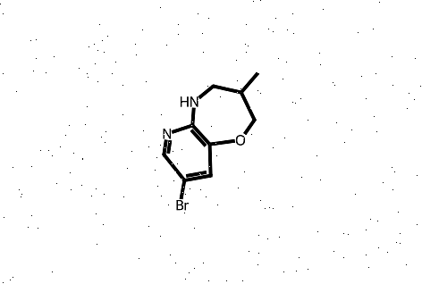 CC1CNc2ncc(Br)cc2OC1